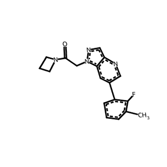 Cc1cccc(-c2cnc3cnn(CC(=O)N4CCC4)c3c2)c1F